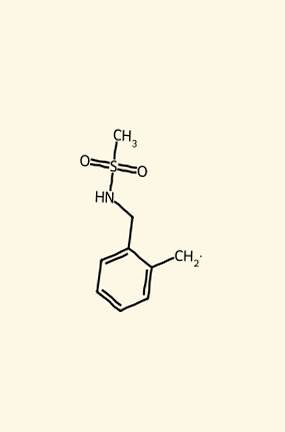 [CH2]c1ccccc1CNS(C)(=O)=O